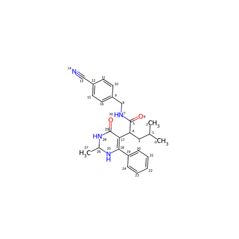 CC(C)CC(C(=O)NCc1ccc(C#N)cc1)C1=C(c2ccccc2)NC(C)NC1=O